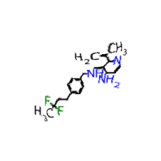 C=C(C)C1=NC=CC(N)/C1=C\NCc1ccc(CCC(C)(F)F)cc1